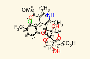 COC(=O)C1=C(C)NC(C)=C(C(=O)[C@@]2(O)CO[C@@]3(CC(=O)O)[C@@H](O)CO[C@@H]32)C1c1cccc(C(F)(F)F)c1Cl